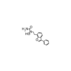 NC(=O)N(O)CCc1cccc2c(-c3ccccc3)coc12